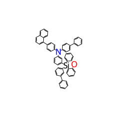 c1ccc(-c2ccc(N(c3ccc(-c4cccc5ccccc45)cc3)c3cccc([Si]4(c5cccc(-c6ccccc6)c5)c5ccccc5Oc5ccccc54)c3)cc2)cc1